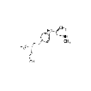 C=C(CNC)Nc1ccc(CCC(C)=CCC)cc1